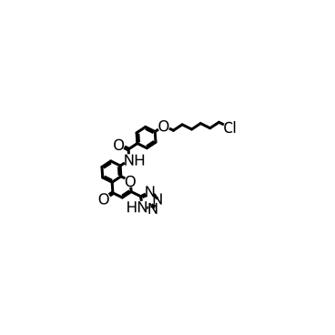 O=C(Nc1cccc2c(=O)cc(-c3nnn[nH]3)oc12)c1ccc(OCCCCCCCl)cc1